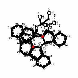 CCC(C)(C)/N=C(\N=C(/NC)c1ccccc1)n1c2ccccc2c2ccc3c4ccccc4n(C4=CCCC=C4c4ccccc4C4=CCCC=C4)c3c21